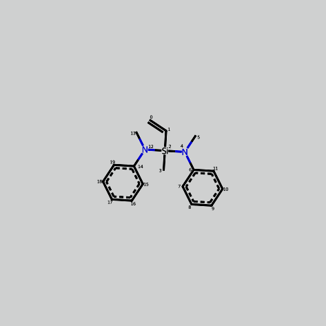 C=C[Si](C)(N(C)c1ccccc1)N(C)c1ccccc1